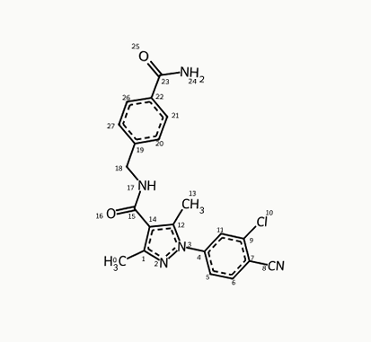 Cc1nn(-c2ccc(C#N)c(Cl)c2)c(C)c1C(=O)NCc1ccc(C(N)=O)cc1